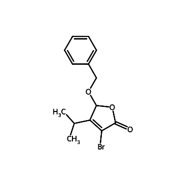 CC(C)C1=C(Br)C(=O)OC1OCc1ccccc1